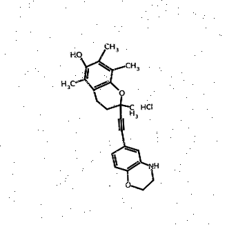 Cc1c(C)c2c(c(C)c1O)CCC(C)(C#Cc1ccc3c(c1)NCCO3)O2.Cl